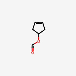 O=[C]OC1CC=CC1